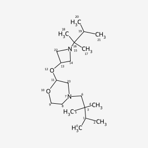 CC(C)C(C)(C)CN1CCOC(OC2CN(C(C)(C)C(C)C)C2)C1